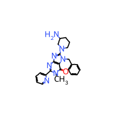 Cn1c(-c2ccccn2)nc2nc(N3CCCC(N)C3)n(Cc3ccccc3)c2c1=O